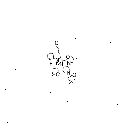 CCC(O)[C@@H]1C[C@H](N(CC(C)C)C(=O)c2nnn(-c3ccccc3F)c2CCCCOC)CN(C(=O)OC(C)(C)C)C1